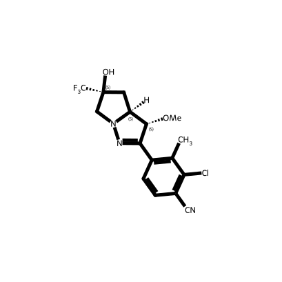 CO[C@@H]1C(c2ccc(C#N)c(Cl)c2C)=NN2C[C@](O)(C(F)(F)F)C[C@@H]12